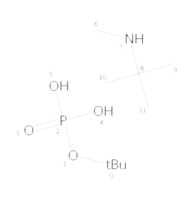 CC(C)(C)OP(=O)(O)O.CNC(C)(C)C